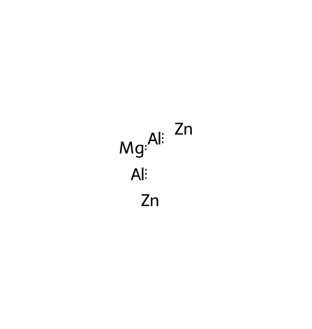 [Al].[Al].[Mg].[Zn].[Zn]